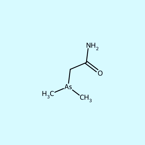 C[As](C)CC(N)=O